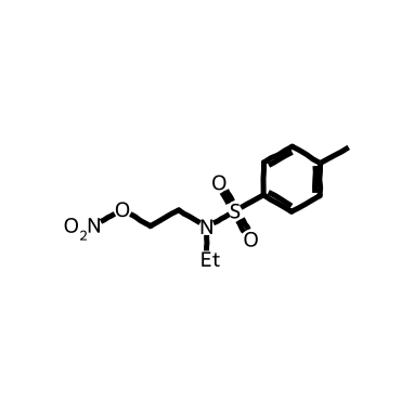 [CH2]CN(CCO[N+](=O)[O-])S(=O)(=O)c1ccc(C)cc1